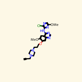 C#CCN1CCN(CCCOc2cc3ncnc(Nc4nc(OC)cnc4Cl)c3cc2OC)CC1